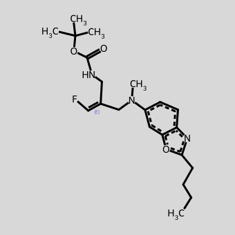 CCCCc1nc2ccc(N(C)C/C(=C/F)CNC(=O)OC(C)(C)C)cc2o1